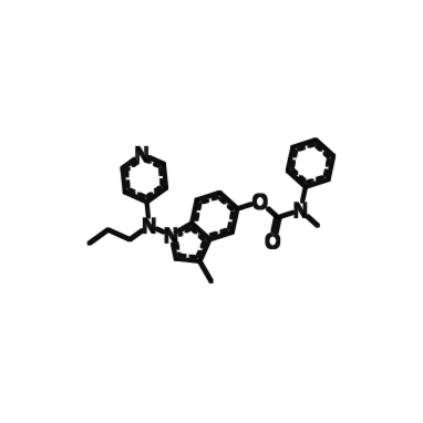 CCCN(c1ccncc1)n1cc(C)c2cc(OC(=O)N(C)c3ccccc3)ccc21